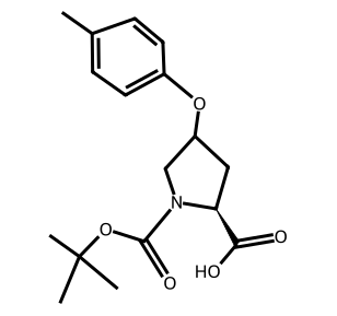 Cc1ccc(OC2C[C@@H](C(=O)O)N(C(=O)OC(C)(C)C)C2)cc1